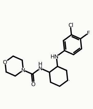 O=C(NC1CC[CH]CC1Nc1ccc(F)c(Cl)c1)N1CCOCC1